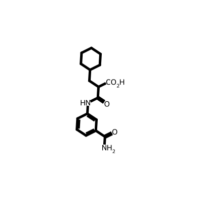 NC(=O)c1cccc(NC(=O)C(CC2CCCCC2)C(=O)O)c1